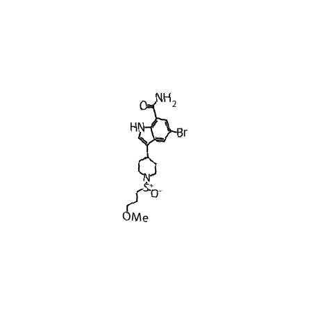 COCCC[S+]([O-])N1CCC(c2c[nH]c3c(C(N)=O)cc(Br)cc23)CC1